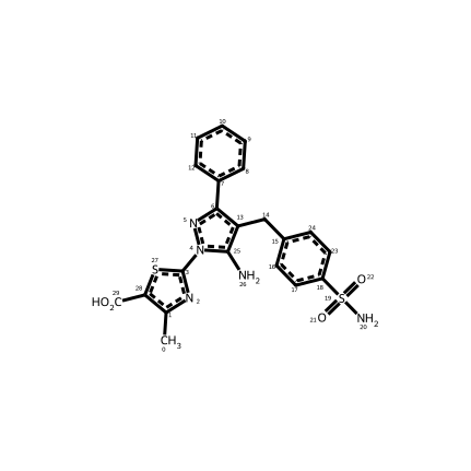 Cc1nc(-n2nc(-c3ccccc3)c(Cc3ccc(S(N)(=O)=O)cc3)c2N)sc1C(=O)O